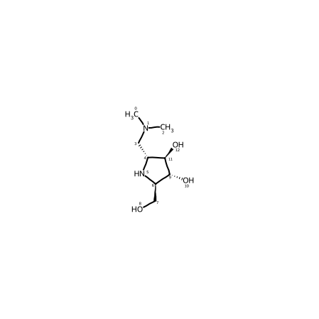 CN(C)C[C@H]1N[C@H](CO)[C@@H](O)[C@@H]1O